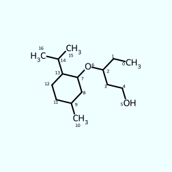 CCC(CCO)OC1CC(C)CCC1C(C)C